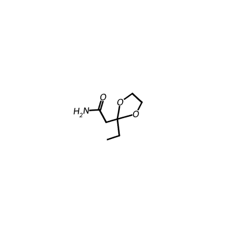 CCC1(CC(N)=O)OCCO1